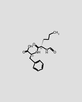 CCCC[C@H](NC=O)C(=O)N[C@@H](Cc1ccccc1)C(=O)O